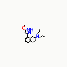 CCCN(CCC)C1CCc2cccc(-c3cc(OC)[nH]n3)c2C1